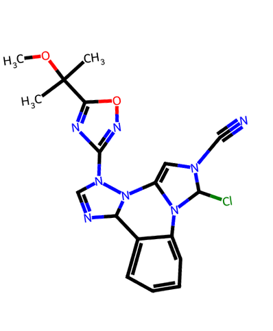 COC(C)(C)c1nc(N2C=NC3c4ccccc4N4C(=CN(C#N)C4Cl)N32)no1